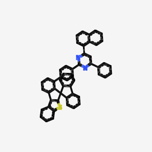 c1ccc(-c2cc(-c3cccc4ccccc34)nc(-c3ccc(-c4cccc5c4C4(c6ccccc6-c6ccccc64)c4sc6ccccc6c4-5)cc3)n2)cc1